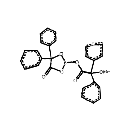 COC(C(=O)OB1OC(=O)C(c2ccccc2)(c2ccccc2)O1)(c1ccccc1)c1ccccc1